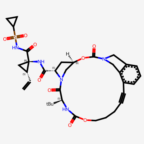 C=C[C@@H]1C[C@]1(NC(=O)[C@@H]1C[C@@H]2CN1C(=O)[C@H](C(C)(C)C)NC(=O)OCCCC#Cc1cccc3c1CN(C3)C(=O)O2)C(=O)NS(=O)(=O)C1CC1